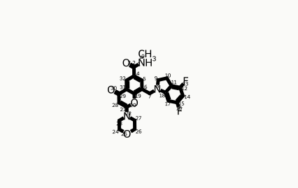 CNC(=O)c1cc(CN2CCc3c(F)cc(F)cc32)c2oc(N3CCOCC3)cc(=O)c2c1